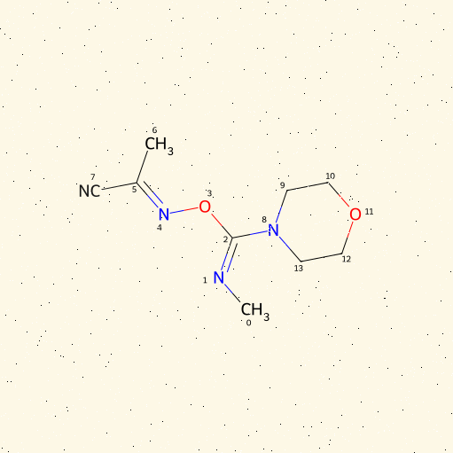 C/N=C(/O/N=C(\C)C#N)N1CCOCC1